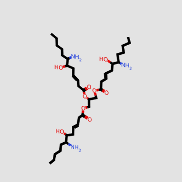 CCCCCC(N)C(O)C/C=C/CC(=O)OCC(COC(=O)C/C=C/CC(O)C(N)CCCCC)OC(=O)C/C=C/CC(O)C(N)CCCCC